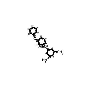 COc1cc(C)cc(C)c1.c1ccc(Oc2ccccc2)cc1